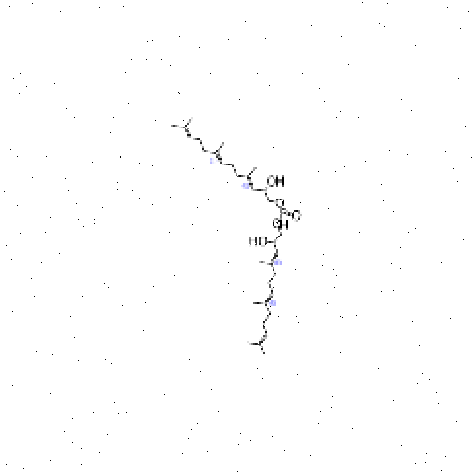 CC(C)=CCC/C(C)=C/CC/C(C)=C/C(O)CO[PH](=O)OCC(O)/C=C(\C)CC/C=C(\C)CCC=C(C)C